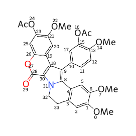 COc1cc2c(cc1OC)-c1c(-c3ccc(OC)c(OC(C)=O)c3)c3c4cc(OC)c(OC(C)=O)cc4oc(=O)c3n1CC2